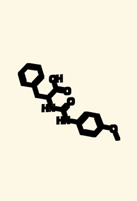 COc1ccc(NC(=O)NC(Cc2ccccc2)C(=O)O)cc1